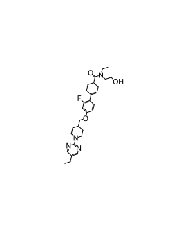 CCc1cnc(N2CCC(COc3ccc(C4=CCC(C(=O)N(CC)CCO)CC4)c(F)c3)CC2)nc1